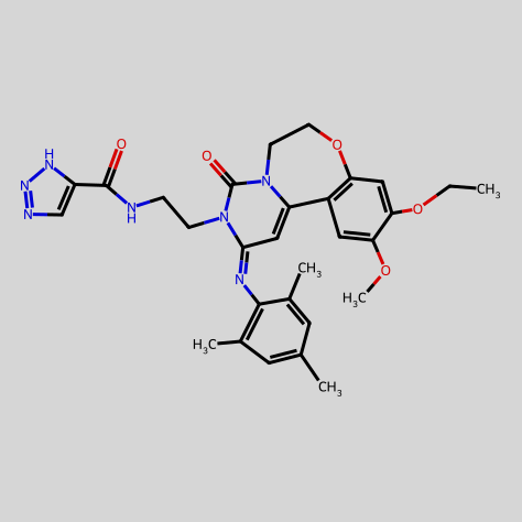 CCOc1cc2c(cc1OC)-c1c/c(=N\c3c(C)cc(C)cc3C)n(CCNC(=O)c3cnn[nH]3)c(=O)n1CCO2